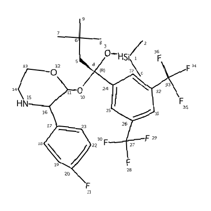 C[SiH](C)O[C@@](CC(C)(C)C)(OC1OCCNC1c1ccc(F)cc1)c1cc(C(F)(F)F)cc(C(F)(F)F)c1